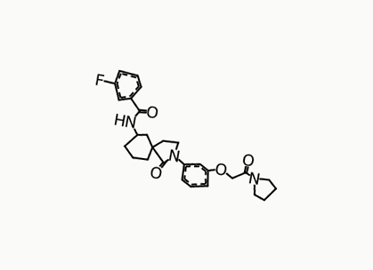 O=C(NC1CCCC2(CCN(c3cccc(OCC(=O)N4CCCC4)c3)C2=O)C1)c1cccc(F)c1